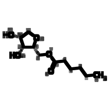 CCCCCC(=O)OC[C@H]1OC[C@@H](O)[C@H]1O